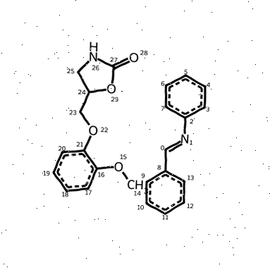 C(=N\c1ccccc1)/c1ccccc1.COc1ccccc1OCC1CNC(=O)O1